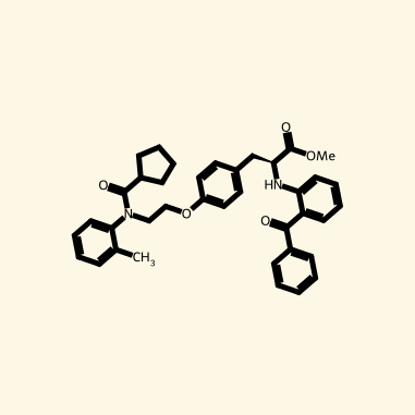 COC(=O)[C@H](Cc1ccc(OCCN(C(=O)C2CCCC2)c2ccccc2C)cc1)Nc1ccccc1C(=O)c1ccccc1